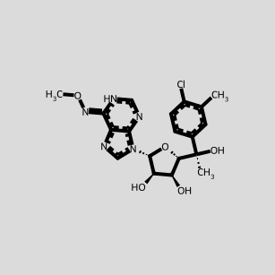 CO/N=c1\[nH]cnc2c1ncn2[C@@H]1O[C@H]([C@](C)(O)c2ccc(Cl)c(C)c2)[C@@H](O)[C@H]1O